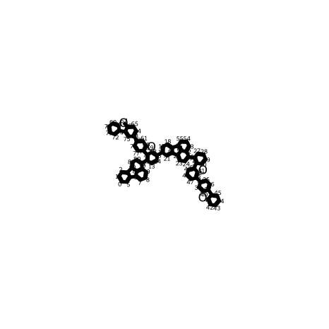 c1ccc2c(c1)-c1cccc3c(-c4ccc(-c5ccc6c(c5)-c5ccc(-c7cccc8oc9c(-c%10ccc%11c(c%10)oc%10ccccc%10%11)cccc9c78)c7cccc-6c57)c5oc6cc(-c7ccc8oc9ccccc9c8c7)ccc6c45)ccc-2c13